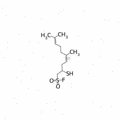 CC(C)=CCC/C(C)=C\CC(S)CS(=O)(=O)F